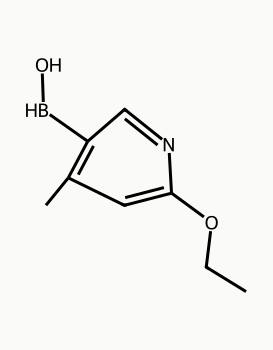 CCOc1cc(C)c(BO)cn1